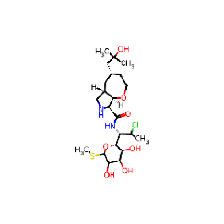 CSC1O[C@H]([C@H](NC(=O)[C@H]2NC[C@@H]3C[C@H](CC(C)(C)O)CCO[C@H]32)[C@H](C)Cl)C(O)[C@@H](O)[C@H]1O